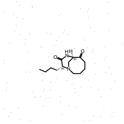 CCCC[C@@H]1C(=O)N[C@@H]2CN1CCCCC2=O